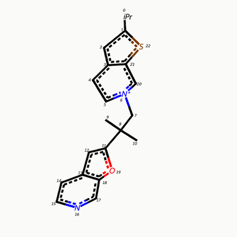 CC(C)c1cc2cc[n+](CC(C)(C)c3cc4ccncc4o3)cc2s1